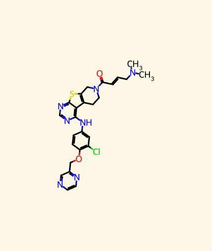 CN(C)CC=CC(=O)N1CCc2c(sc3ncnc(Nc4ccc(OCc5cnccn5)c(Cl)c4)c23)C1